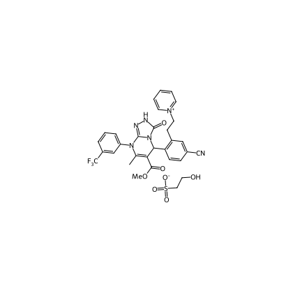 COC(=O)C1=C(C)N(c2cccc(C(F)(F)F)c2)c2n[nH]c(=O)n2C1c1ccc(C#N)cc1CC[n+]1ccccc1.O=S(=O)([O-])CCO